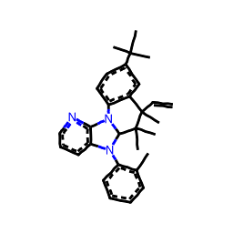 C=CC1(C)c2cc(C(C)(C)C)ccc2N2c3ncccc3N(c3ccccc3C)C2C1(C)C